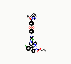 COC(=O)N[C@H]1CCC[C@@H]1C(CN1CCC1)(c1cccc(F)c1)C1CCN(CC2(F)CN(c3ccc(S(=O)(=O)c4ccc(C(=O)NC(C)(C)C)cc4)cc3)C2)CC1